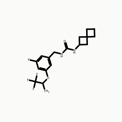 CC(Oc1cc(F)cc(CNC(=O)NC2CC3(CCC3)C2)c1)C(F)(F)F